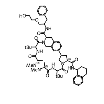 CN[C@@H](C)C(=O)NC(C(=O)N1Cc2cc(C3C[C@@H](C(=O)NC4CCCc5ccccc54)N(C(=O)C(NC(=O)[C@H](C)NC)C(C)(C)C)C3)ccc2CC1C(=O)NC(COCCO)Cc1ccccc1)C(C)(C)C